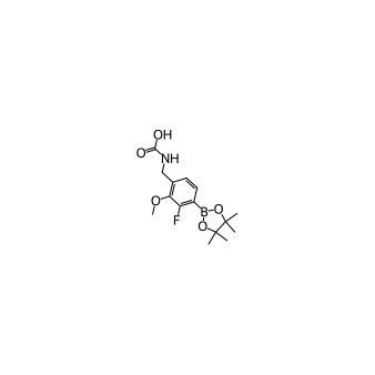 COc1c(CNC(=O)O)ccc(B2OC(C)(C)C(C)(C)O2)c1F